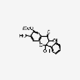 COc1cc2c(cc1O)OC(O)(c1ccccc1)C(O)C2=O